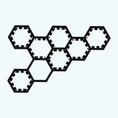 c1ccc2c(c1)Cc1cc3cc4ccccc4c4ccc5c6ccccc6c-2c1c5c34